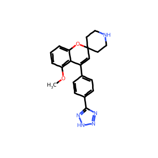 COc1cccc2c1C(c1ccc(-c3nn[nH]n3)cc1)=CC1(CCNCC1)O2